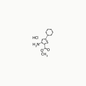 COC(=O)c1sc(-c2ccccc2)cc1N.Cl